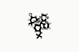 CC(C)(C)Cc1ccc(P2C(C)(C)CC(=O)CC2(C)C)c(C(P)(c2cnccn2)c2cnccn2)c1